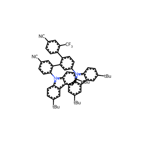 CC(C)(C)c1ccc2c(c1)c1cc(C(C)(C)C)ccc1n2-c1ccc(-c2ccc(C#N)cc2C(F)(F)F)c(-c2cc(C#N)ccc2-n2c3ccc(C(C)(C)C)cc3c3cc(C(C)(C)C)ccc32)c1